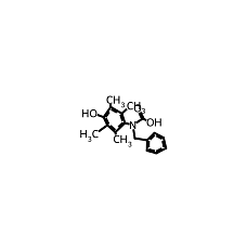 Cc1c(C)c(N(Cc2ccccc2)C(=O)O)c(C)c(C)c1O